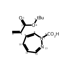 C=CC(=O)OC(C)(C)C.O=C(O)N1C=CC=CC=N1